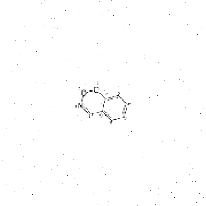 [C]1=NOOc2ccccc21